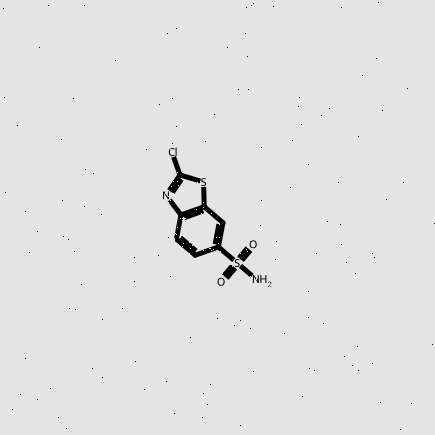 NS(=O)(=O)c1ccc2nc(Cl)sc2c1